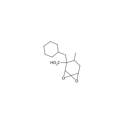 CC1CC2OC23OC3C1(CC1CCCCC1)C(=O)O